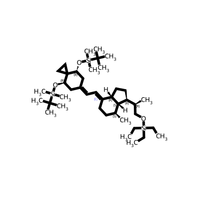 CC[Si](CC)(CC)OC[C@H](C)[C@@H]1CC[C@H]2/C(=C/C=C3C[C@@H](O[Si](C)(C)C(C)(C)C)C4(CC4)[C@H](O[Si](C)(C)C(C)(C)C)C3)CC[C@H](C)[C@@H]12